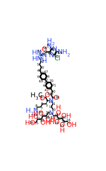 COC(=O)[C@H](CCCCN)N(CCCN(C[C@H](O)[C@@H](O)[C@H](O)[C@H](O)CO)C[C@H](O)[C@@H](O)[C@H](O)[C@H](O)CO)C(=O)CCc1ccc(-c2ccc(CCCCNC(=N)NC(=O)c3nc(Cl)c(N)nc3N)cc2)cc1